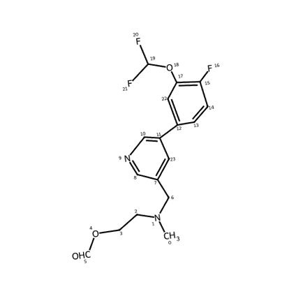 CN(CCOC=O)Cc1cncc(-c2ccc(F)c(OC(F)F)c2)c1